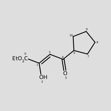 CCOC(=O)/C(O)=C/C(=O)C1CCCC1